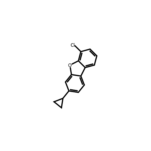 Clc1cccc2c1oc1cc(C3CC3)ccc12